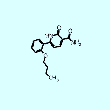 CCCCOc1ccccc1-c1ccc(C(N)=O)c(=O)[nH]1